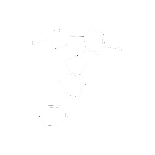 Brc1ccc2c(c1)C1(Cc3ccc(-c4ccccn4)cc3C1)c1cc(Br)ccc1-2